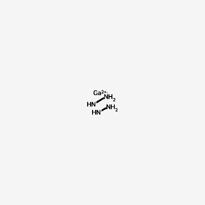 [Ga+2].[NH-]N.[NH-]N